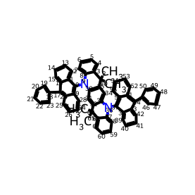 CC1(C)c2ccccc2N(c2c3ccccc3c(-c3ccccc3)c3ccccc23)c2cc3c(cc21)N(c1c2ccccc2c(-c2ccccc2)c2ccccc12)c1ccccc1C3(C)C